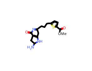 COC(=O)c1ccc(CCCC2=NC(=O)C3=C(C2)NC(N)C3)s1